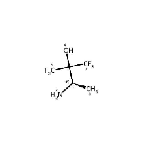 C[C@@H](N)C(O)(C(F)(F)F)C(F)(F)F